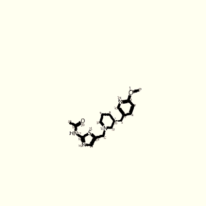 COc1ccc(C[C@@H]2CCCN(Cc3cnc(NC(C)=O)s3)C2)cn1